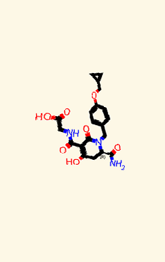 NC(=O)[C@H]1CC(O)=C(C(=O)NCC(=O)O)C(=O)N1Cc1ccc(OCC2CC2)cc1